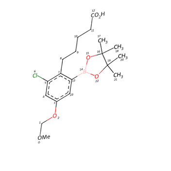 COCOc1cc(Cl)c(CCCCC(=O)O)c(B2OC(C)(C)C(C)(C)O2)c1